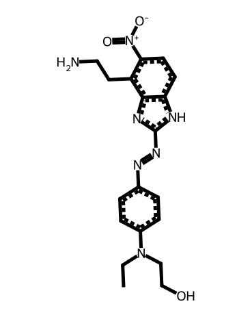 CCN(CCO)c1ccc(N=Nc2nc3c(CCN)c([N+](=O)[O-])ccc3[nH]2)cc1